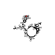 CCC(=O)OCOC(=O)N[C@H](CC(=O)Nc1ccc(CC(P(=O)(O)O)P(=O)(O)O)cc1)C(=O)NCC(=O)C1C/C=C(/C)C(=O)NC2=C3NC4(CCN(CC(C)C)CC4)N=C3c3c(c(O)c(C)c4c3C(=O)[C@@](C)(O/C=C/[C@H](OC)[C@@H](C)[C@@H](OC(C)=O)[C@H](C)[C@H](O)[C@H](C)[C@H](C(C)C)O1)O4)C2=O